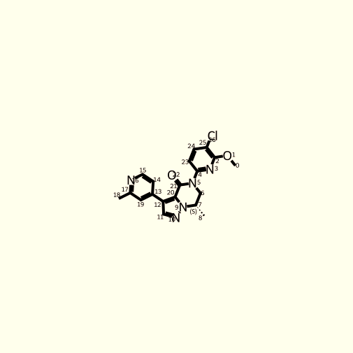 COc1nc(N2C[C@H](C)n3ncc(-c4ccnc(C)c4)c3C2=O)ccc1Cl